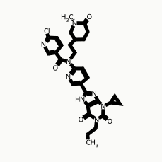 CCCn1c(=O)c2[nH]c(-c3ccc(N(CCC4CCC(=O)N(C)C4)C(=O)c4ccc(Cl)nc4)nc3)nc2n(C2CC2)c1=O